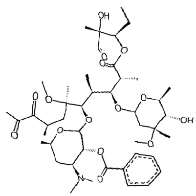 CC[C@@H](OC(=O)[C@H](C)[C@@H](OC1C[C@@](C)(OC)[C@@H](O)[C@H](C)O1)[C@H](C)[C@@H](OC1O[C@H](C)C[C@H](N(C)C)[C@H]1OC(=O)c1ccccc1)[C@@](C)(C[C@@H](C)C(=O)C(C)=O)OC)[C@@](C)(O)C=O